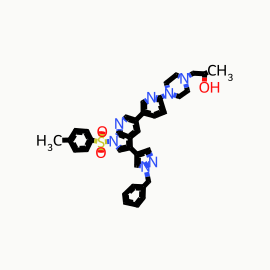 Cc1ccc(S(=O)(=O)n2cc(-c3cnn(Cc4ccccc4)c3)c3cc(-c4ccc(N5CCN(CC(C)O)CC5)nc4)cnc32)cc1